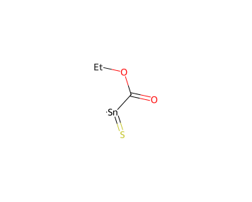 CCO[C](=O)[Sn]=[S]